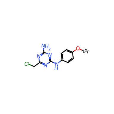 CC(C)Oc1ccc(Nc2nc(N)nc(CCl)n2)cc1